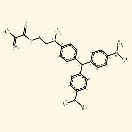 C=C(C)C(=O)OCCN(C)c1ccc(C(c2ccc(N(C)C)cc2)c2ccc(N(C)C)cc2)cc1